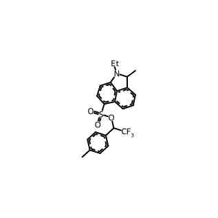 CCN1c2ccc(S(=O)(=O)OC(c3ccc(C)cc3)C(F)(F)F)c3cccc(c23)C1C